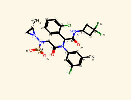 C[C@H]1CN1N(CC(=O)N(c1cc(F)cc(C#N)c1)C(C(=O)NC1CC(F)(F)C1)c1ccccc1Cl)[SH](=O)=O